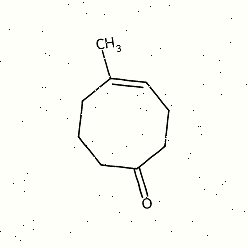 CC1=CCCC(=O)CCC1